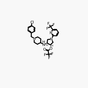 O=C(O[C@H]1CN(c2cccc(C(F)(F)F)n2)C[C@@H]1NC1CCN(Cc2ccc(Cl)cc2)CC1)C(F)(F)F